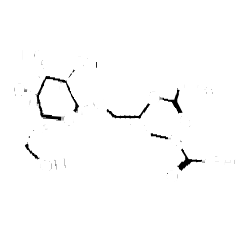 CCCCCC(=O)OC[C@H](CO[C@@H]1O[C@H](CO)[C@H](O)[C@H](O)[C@H]1O)OC(=O)CCCCC